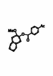 COc1cc2ccccc2cc1OC(=O)c1ccc(C(C)=O)cc1